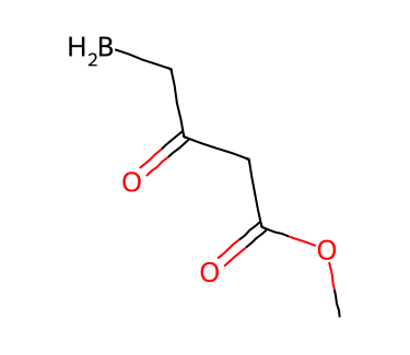 BCC(=O)CC(=O)OC